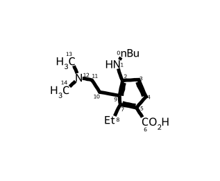 CCCCNc1ccc(C(=O)O)c(CC)c1CCN(C)C